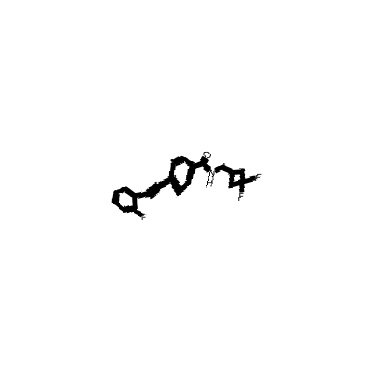 O=C(NCC1CC(F)(F)C1)c1ccc(C#Cc2ccccc2F)cc1